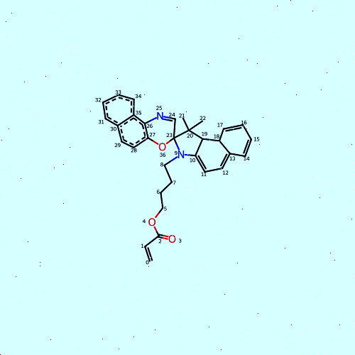 C=CC(=O)OCCCCN1C2=CC=C3C=CC=CC3C2C(C)(C)C12C=Nc1c(ccc3ccccc13)O2